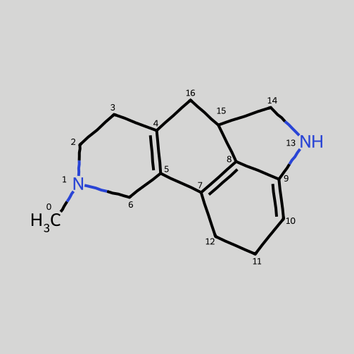 CN1CCC2=C(C1)C1=C3C(=CCC1)NCC3C2